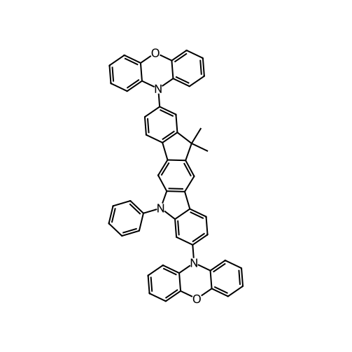 CC1(C)c2cc(N3c4ccccc4Oc4ccccc43)ccc2-c2cc3c(cc21)c1ccc(N2c4ccccc4Oc4ccccc42)cc1n3-c1ccccc1